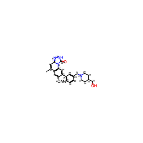 COc1cc2c(C)cc3n[nH]c(=O)n3c2cc1-c1cccc(CN2CCC(CO)CC2)c1